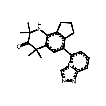 CC1(C)Nc2c(cc(-c3cccc4nncn34)c3c2CCC3)C(C)(C)C1=O